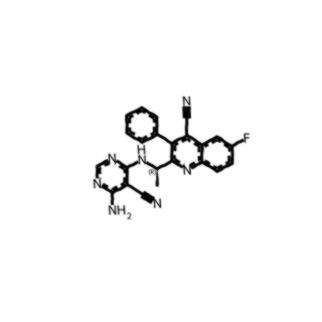 C[C@@H](Nc1ncnc(N)c1C#N)c1nc2ccc(F)cc2c(C#N)c1-c1ccccc1